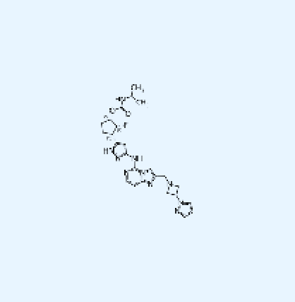 CC(C)NC(=O)O[C@H]1CC[C@@H](c2cc(Nc3nccc4nc(CN5CC(n6cccn6)C5)cn34)n[nH]2)[C@H]1F